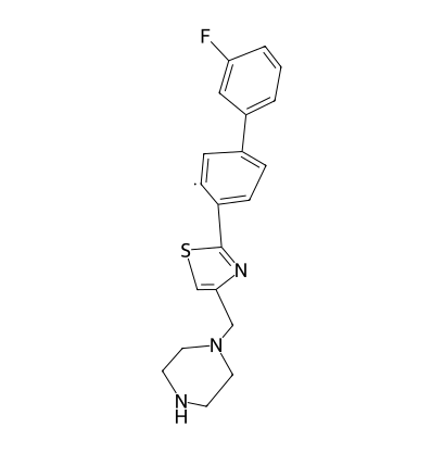 Fc1cccc(-c2c[c]c(-c3nc(CN4CCNCC4)cs3)cc2)c1